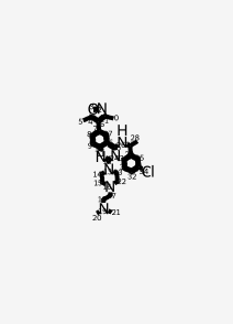 Cc1noc(C)c1-c1ccc2nc(N3CCN(CCN(C)C)CC3)nc(NC(C)c3cccc(Cl)c3)c2c1